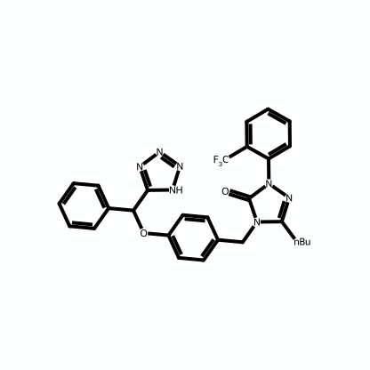 CCCCc1nn(-c2ccccc2C(F)(F)F)c(=O)n1Cc1ccc(OC(c2ccccc2)c2nnn[nH]2)cc1